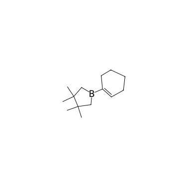 CC1(C)CB(C2=CCCCC2)CC1(C)C